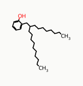 CCCCCCCCCCC(CCCCCCCC)Cc1ccccc1O